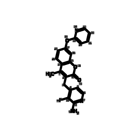 Cc1c(Cc2ccnc(N)c2F)c(=O)oc2cc(Oc3ccccn3)ccc12